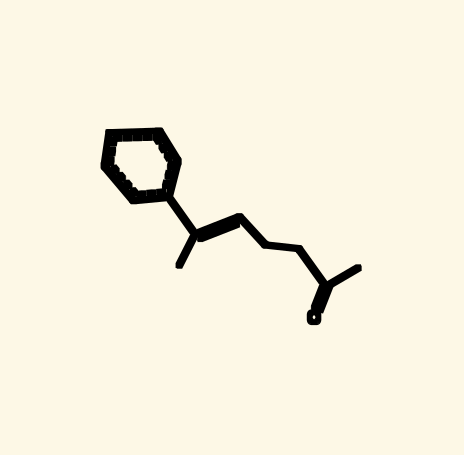 CC(=O)CCC=C(C)c1ccccc1